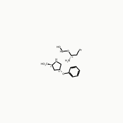 CC(C)C[C@H](N)OBO.O=C(O)[C@@H]1C[C@@H](Oc2ccccc2)CN1